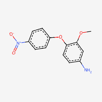 COc1cc(N)ccc1Oc1ccc([N+](=O)[O-])cc1